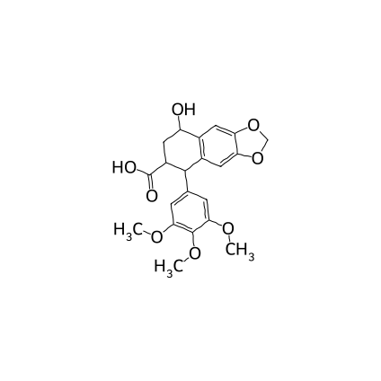 COc1cc(C2c3cc4c(cc3C(O)CC2C(=O)O)OCO4)cc(OC)c1OC